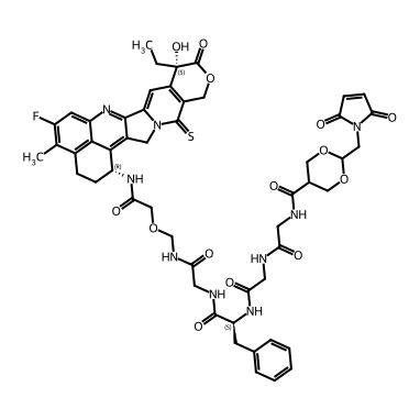 CC[C@@]1(O)C(=O)OCc2c1cc1n(c2=S)Cc2c-1nc1cc(F)c(C)c3c1c2[C@H](NC(=O)COCNC(=O)CNC(=O)[C@H](Cc1ccccc1)NC(=O)CNC(=O)CNC(=O)C1COC(CN2C(=O)C=CC2=O)OC1)CC3